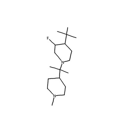 CN1CCC(C(C)(C)N2CCC(C(C)(C)C)C(F)C2)CC1